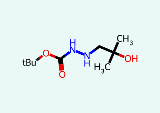 CC(C)(O)CNNC(=O)OC(C)(C)C